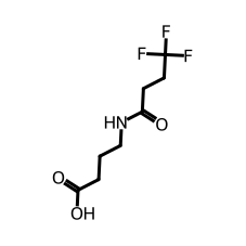 O=C(O)CCCNC(=O)CCC(F)(F)F